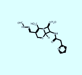 O.O=CNN=CC1=C(C(=O)O)N2C(=O)C(NC(=O)Cc3cccs3)[C@@H]2SC1